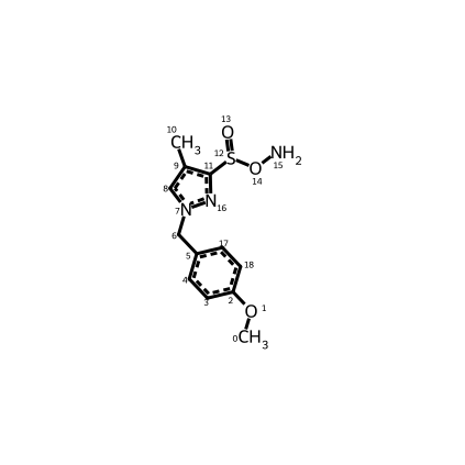 COc1ccc(Cn2cc(C)c(S(=O)ON)n2)cc1